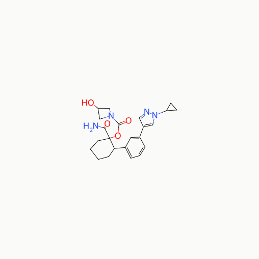 NC(=O)C1(OC(=O)N2CC(O)C2)CCCCC1c1cccc(-c2cnn(C3CC3)c2)c1